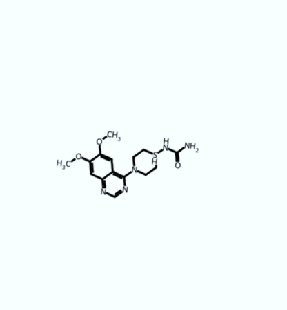 COc1cc2ncnc(N3CC[SH](NC(N)=O)CC3)c2cc1OC